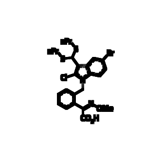 CCCSC(SCCC)c1c(Cl)n(Cc2ccccc2C(=NOC)C(=O)O)c2ccc(Br)cc12